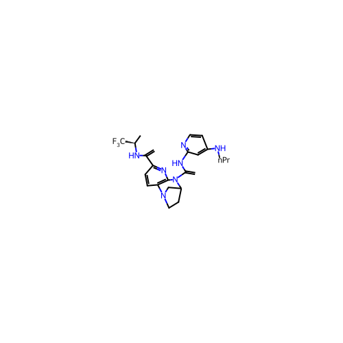 C=C(N[C@H](C)C(F)(F)F)c1ccc2c(n1)N(C(=C)Nc1cc(NCCC)ccn1)C1CCN2C1